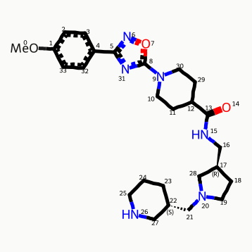 COc1ccc(-c2noc(N3CCC(C(=O)NC[C@H]4CCN(C[C@H]5CCCNC5)C4)CC3)n2)cc1